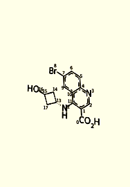 O=C(O)c1cnc2ccc(Br)cc2c1N[C@H]1C[C@H](O)C1